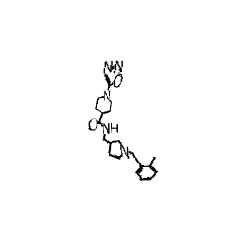 Cc1ccccc1CN1CCC(CNC(=O)C2CCN(c3cnno3)CC2)C1